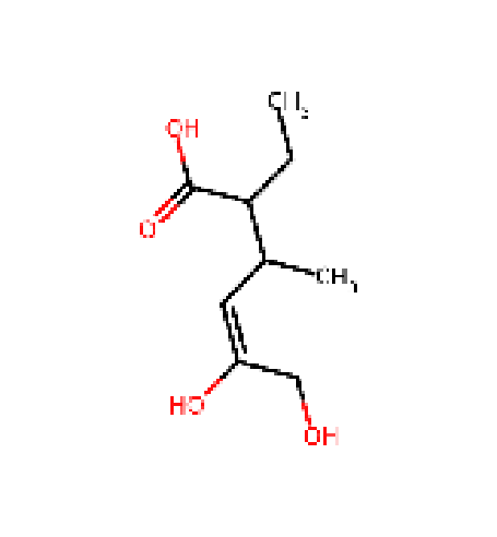 CCC(C(=O)O)C(C)/C=C(/O)CO